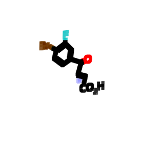 O=C(O)/C=C/C(=O)c1ccc(Br)c(F)c1